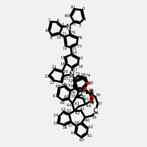 c1ccc(-n2c3ccccc3c3cc(-c4ccc5c(c4)c4ccccc4n5-c4ccc5c(c4)C46CC7CCCCC8CC(CC(C4)c4ccccc4-5)(c4ccccc4-c4ccccc48)C6c4ccccc4-c4ccccc47)ccc32)cc1